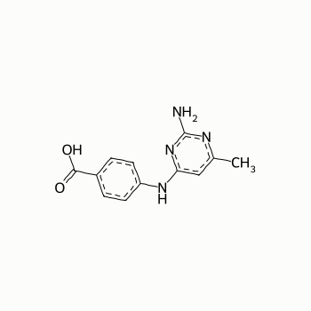 Cc1cc(Nc2ccc(C(=O)O)cc2)nc(N)n1